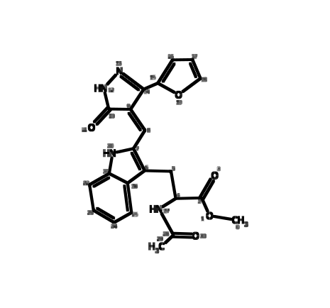 COC(=O)C(Cc1c(C=C2C(=O)NN=C2c2ccco2)[nH]c2ccccc12)NC(C)=O